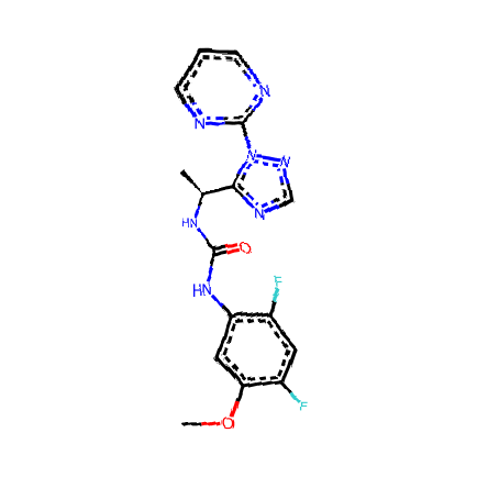 COc1cc(NC(=O)N[C@@H](C)c2ncnn2-c2ncccn2)c(F)cc1F